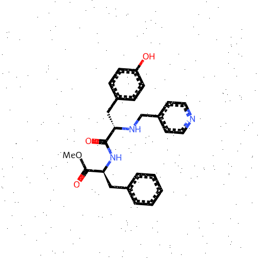 COC(=O)[C@H](Cc1ccccc1)NC(=O)[C@H](Cc1ccc(O)cc1)NCc1ccncc1